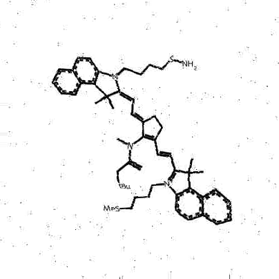 C=C(CC(C)(C)C)N(C)C1=C(/C=C/C2=[N+](CCCCSC)c3ccc4ccccc4c3C2(C)C)CC/C1=C\C=C1\N(CCCCSN)c2ccc3ccccc3c2C1(C)C